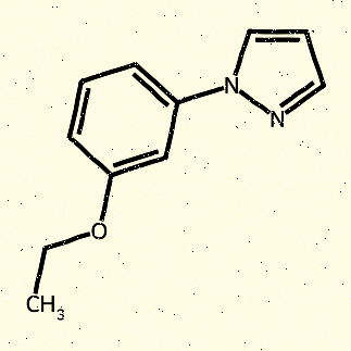 CCOc1cccc(-n2c[c]cn2)c1